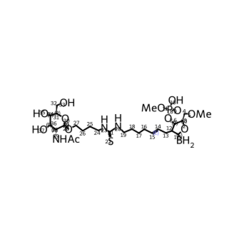 B[C@@H]1O[C@H](COC)[C@H](OP(=O)(O)OC)C1C/C=C/CCCCNC(=S)NCCCCO[C@@H]1O[C@H](CO)[C@H](O)[C@H](O)[C@H]1NC(C)=O